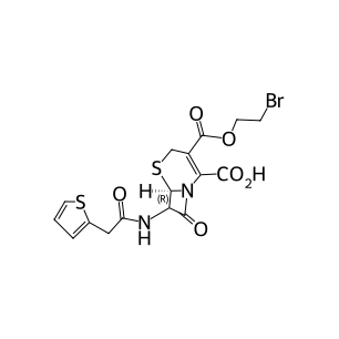 O=C(Cc1cccs1)NC1C(=O)N2C(C(=O)O)=C(C(=O)OCCBr)CS[C@H]12